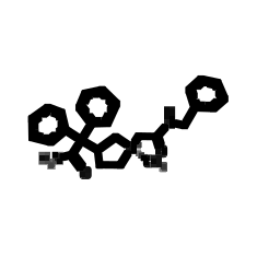 C[N@+]1(CC(=O)NCc2ccccc2)CCC(C(C(N)=O)(c2ccccc2)c2ccccc2)C1